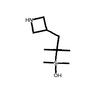 CC(C)(CC1CNC1)[Si](C)(C)O